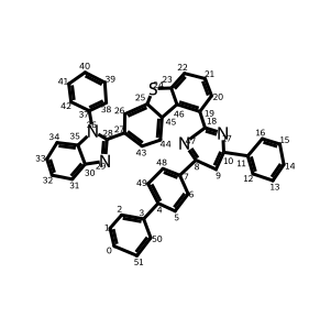 c1ccc(-c2ccc(-c3cc(-c4ccccc4)nc(-c4cccc5sc6cc(-c7nc8ccccc8n7-c7ccccc7)ccc6c45)n3)cc2)cc1